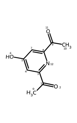 CC(=O)c1cc(O)cc(C(C)=O)n1